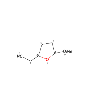 COC1CCC(CC#N)O1